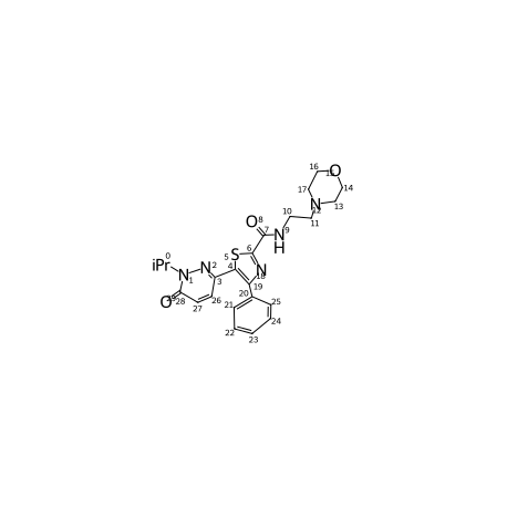 CC(C)n1nc(-c2sc(C(=O)NCCN3CCOCC3)nc2-c2ccccc2)ccc1=O